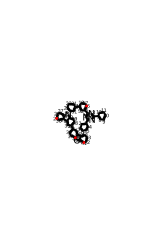 c1ccc(-c2nc(-c3ccccc3)nc(-c3cccc(-c4cccc(-n5c6ccccc6c6cc(-c7ccc8oc9ccccc9c8c7)ccc65)c4)c3)n2)cc1